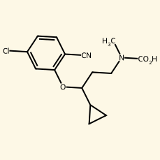 CN(CCC(Oc1cc(Cl)ccc1C#N)C1CC1)C(=O)O